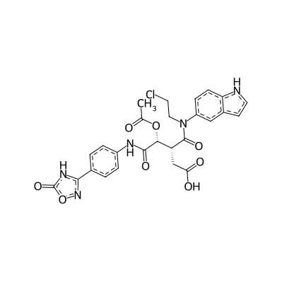 CC(=O)O[C@@H](C(=O)Nc1ccc(-c2noc(=O)[nH]2)cc1)[C@@H](CC(=O)O)C(=O)N(CCCl)c1ccc2[nH]ccc2c1